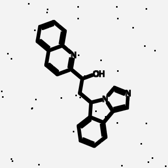 OC(CC1c2ccccc2-c2cncn21)c1ccc2ccccc2n1